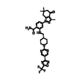 Cc1nn(-c2ccc(C(N)=O)c(NCC3CCN(c4ncc(-c5noc(C(F)(F)F)n5)cn4)CC3)c2)c2c1C(=O)CC(C)(C)C2